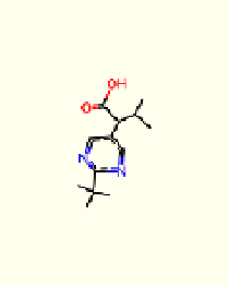 CC(C)C(C(=O)O)c1cnc(C(C)(C)C)nc1